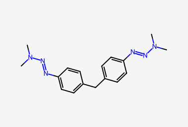 CN(C)N=Nc1ccc(Cc2ccc(N=NN(C)C)cc2)cc1